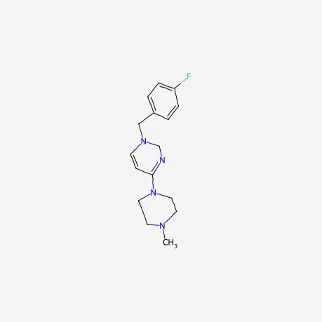 CN1CCN(C2=NCN(Cc3ccc(F)cc3)C=C2)CC1